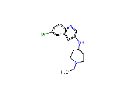 CCN1CCC(Nc2cnc3ccc(Br)cc3c2)CC1